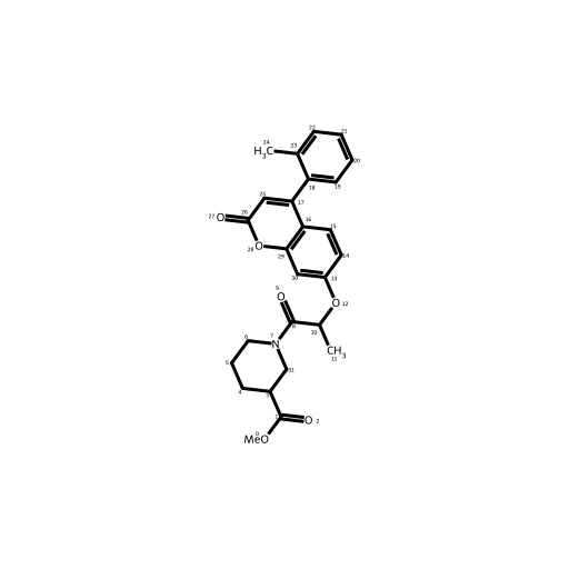 COC(=O)C1CCCN(C(=O)C(C)Oc2ccc3c(-c4ccccc4C)cc(=O)oc3c2)C1